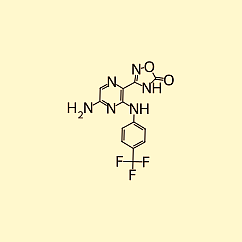 Nc1cnc(-c2noc(=O)[nH]2)c(Nc2ccc(C(F)(F)F)cc2)n1